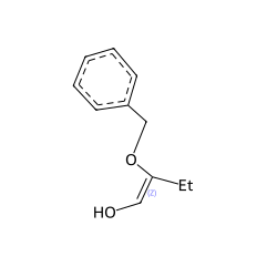 CC/C(=C/O)OCc1ccccc1